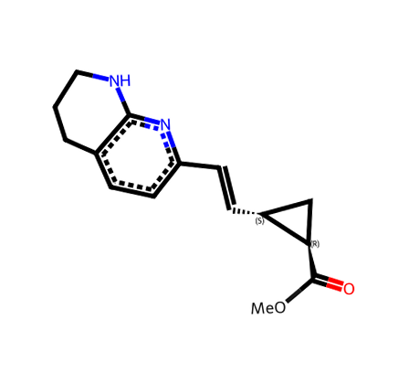 COC(=O)[C@@H]1C[C@H]1C=Cc1ccc2c(n1)NCCC2